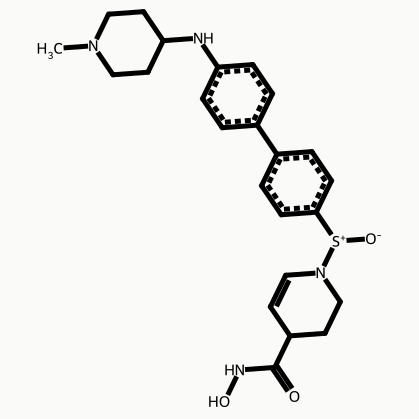 CN1CCC(Nc2ccc(-c3ccc([S+]([O-])N4C=CC(C(=O)NO)CC4)cc3)cc2)CC1